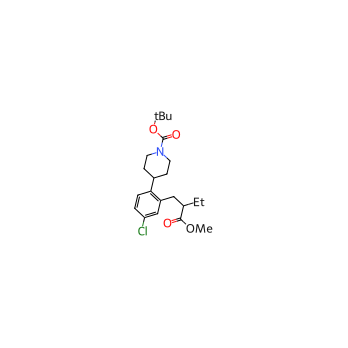 CCC(Cc1cc(Cl)ccc1C1CCN(C(=O)OC(C)(C)C)CC1)C(=O)OC